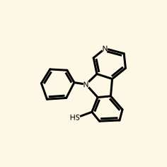 Sc1cccc2c3ccncc3n(-c3ccccc3)c12